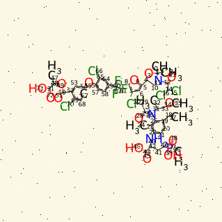 CC1(C)OC(c2ccco2)CN1C(=O)C(Cl)Cl.CCc1cccc(C)c1N(C(=O)CCl)C(C)COC.CP(=O)(O)CCC(N)C(=O)O.C[C@H](OC(=O)c1cc(Oc2ccc(C(F)(F)F)cc2Cl)ccc1Cl)C(=O)O